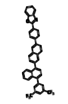 FC(F)(F)c1cc(-c2ccc(-c3ccc4cc(-c5ccc(-c6nc7ccccc7o6)cc5)ccc4c3)c3ccccc23)cc(C(F)(F)F)c1